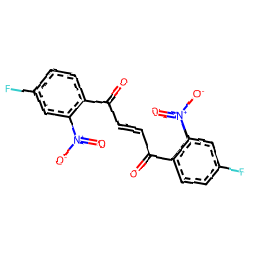 O=C(C=CC(=O)c1ccc(F)cc1[N+](=O)[O-])c1ccc(F)cc1[N+](=O)[O-]